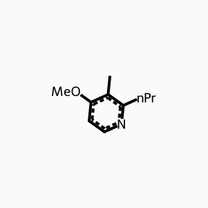 CCCc1nccc(OC)c1C